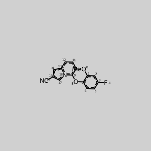 COc1cc(F)ccc1Oc1cccc2cc(C#N)cn12